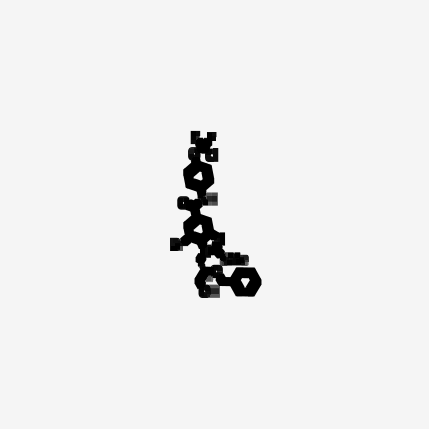 CSc1nc2cc(C(=O)Nc3ccc(OC(F)(F)Cl)cc3)cc(Br)c2n1C[C@@H](CO)OCc1ccccc1